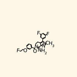 Cn1nc2c(c1-c1cc(F)cc(F)c1)CCN(C(=O)c1cccc(OCCF)c1)[C@H]2N